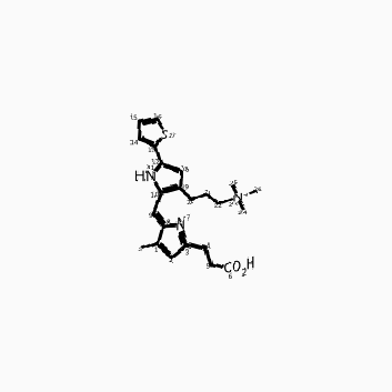 CC1=CC(CCC(=O)O)=N/C1=C\c1[nH]c(-c2cccs2)cc1CCC[N+](C)(C)C